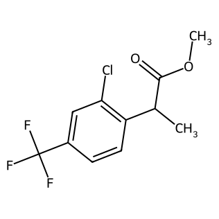 COC(=O)C(C)c1ccc(C(F)(F)F)cc1Cl